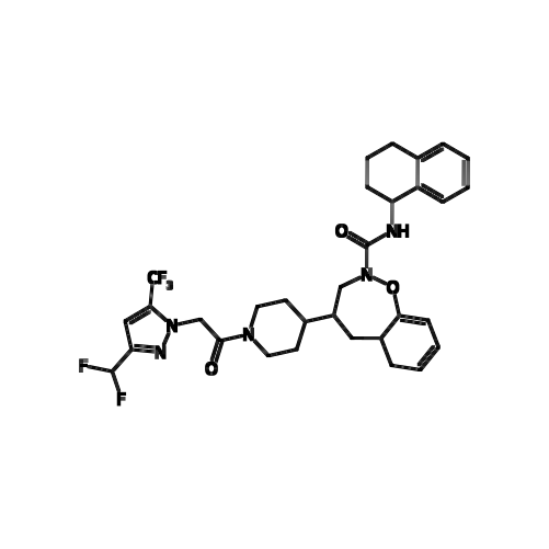 O=C(Cn1nc(C(F)F)cc1C(F)(F)F)N1CCC(C2CC3CC=CC=C3ON(C(=O)NC3CCCc4ccccc43)C2)CC1